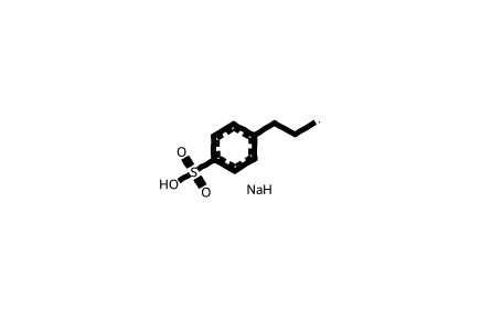 [CH2]CCc1ccc(S(=O)(=O)O)cc1.[NaH]